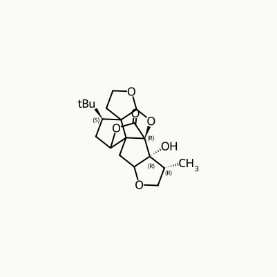 C[C@@H]1COC2CC34C5C[C@@H](C(C)(C)C)C36CCOC6O[C@@]4(C(=O)O5)[C@]21O